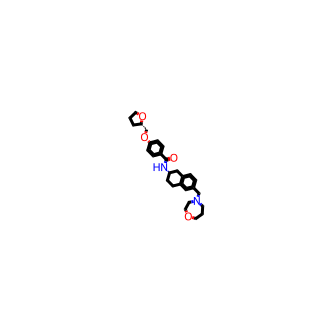 O=C(N[C@H]1CCc2cc(CN3CCCOCC3)ccc2C1)c1ccc(OC[C@@H]2CCCO2)cc1